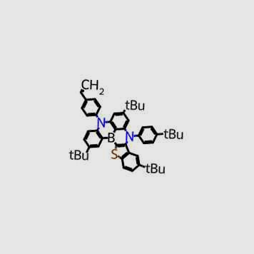 C=Cc1ccc(N2c3ccc(C(C)(C)C)cc3B3c4sc5ccc(C(C)(C)C)cc5c4N(c4ccc(C(C)(C)C)cc4)c4cc(C(C)(C)C)cc2c43)cc1